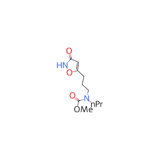 CCCN(CCCc1cc(=O)[nH]o1)C(=O)OC